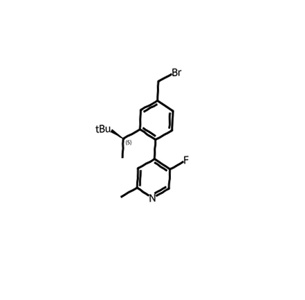 Cc1cc(-c2ccc(CBr)cc2[C@@H](C)C(C)(C)C)c(F)cn1